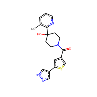 N#Cc1cccnc1C1(O)CCN(C(=O)c2csc(-c3cn[nH]c3)c2)CC1